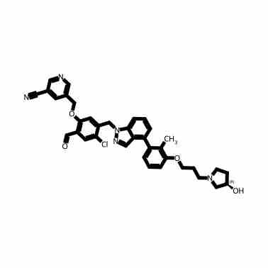 Cc1c(OCCCN2CC[C@@H](O)C2)cccc1-c1cccc2c1cnn2Cc1cc(OCc2cncc(C#N)c2)c(C=O)cc1Cl